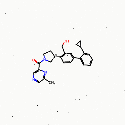 Cc1cncc(C(=O)N2CC[C@@H](c3ccc(-c4ccccc4C4CC4)cc3CO)C2)n1